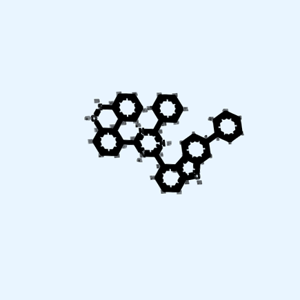 c1ccc(-c2ccc3c(c2)oc2cccc(-c4nc(-c5ccccc5)nc(-c5cccc6c5-c5ccccc5SO6)n4)c23)cc1